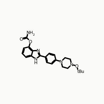 CC(C)(C)ON1CCN(c2ccc(-c3nc4c(OC(N)=O)cccc4[nH]3)cc2)CC1